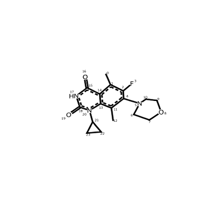 Cc1c(F)c(N2CCOCC2)c(C)c2c1c(=O)[nH]c(=O)n2C1CC1